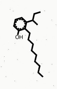 CCCCCCCCCc1c(O)cccc1C(C)CC